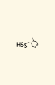 Cc1ccccc1CSS